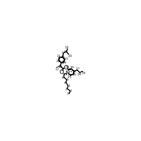 CCCCCCCC(OC(=O)[C@@H](C)c1ccc(CC(C)C)cc1)[n+]1ccc(CCC)cc1